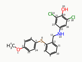 COc1ccc(Sc2ccccc2CNc2cc(Cl)c(O)c(Cl)c2)cc1